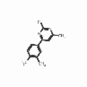 Cc1cc(-c2ccc(C(F)(F)F)c(C)c2)nc(Cl)n1